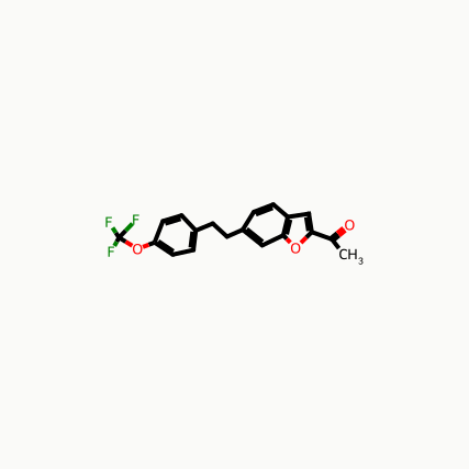 CC(=O)c1cc2ccc(CCc3ccc(OC(F)(F)F)cc3)cc2o1